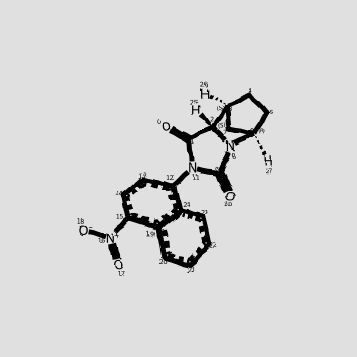 O=C1[C@@H]2[C@H]3CC[C@H](C3)N2C(=O)N1c1ccc([N+](=O)[O-])c2ccccc12